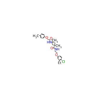 CCc1cc(OCCNC(=O)C2(C)CC(C)(NC(=O)COc3ccc(C)cc3)C2)ccc1Cl